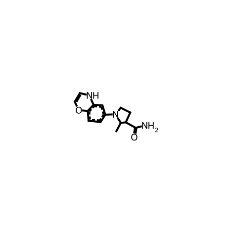 CC1C(C(N)=O)CCN1c1ccc2c(c1)NC=CO2